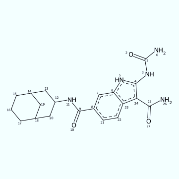 NC(=O)Nc1[nH]c2cc(C(=O)NC3CC4CCCC(C4)C3)ccc2c1C(N)=O